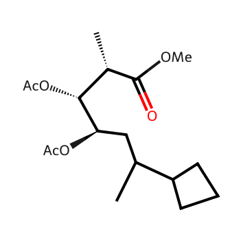 COC(=O)[C@@H](C)[C@@H](OC(C)=O)[C@@H](CC(C)C1CCC1)OC(C)=O